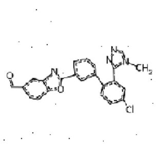 Cn1cnnc1-c1cc(Cl)ccc1-c1cccc(-c2nc3cc(C=O)ccc3o2)c1